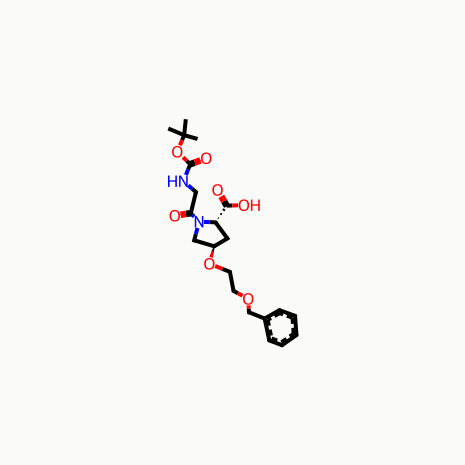 CC(C)(C)OC(=O)NCC(=O)N1C[C@H](OCCOCc2ccccc2)C[C@H]1C(=O)O